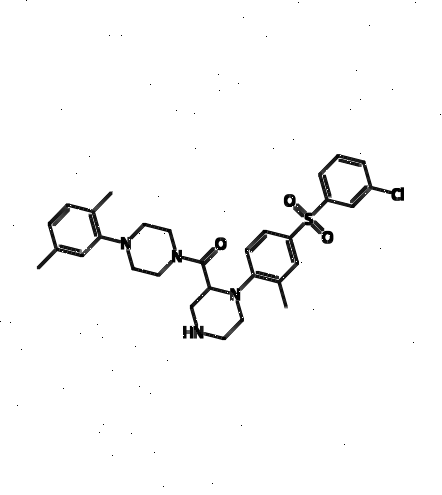 Cc1ccc(C)c(N2CCN(C(=O)C3CNCCN3c3ccc(S(=O)(=O)c4cccc(Cl)c4)cc3C)CC2)c1